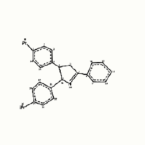 CC(C)c1ccc(C2CC(c3ccccc3)=NN2c2ccc(C(C)C)cc2)cc1